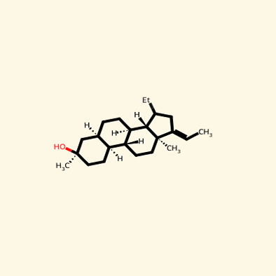 C/C=C1\CC(CC)[C@H]2[C@@H]3CC[C@@H]4C[C@](C)(O)CC[C@@H]4[C@H]3CC[C@]12C